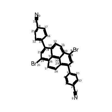 N#Cc1ccc(-c2cc(Br)c3ccc4c(-c5ccc(C#N)cc5)cc(Br)c5ccc2c3c54)cc1